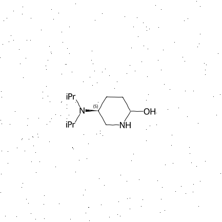 CC(C)N(C(C)C)[C@H]1CCC(O)NC1